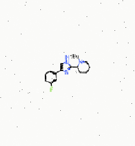 CC(C)(C)N1CCCCC1c1nc(-c2cccc(F)c2)c[nH]1